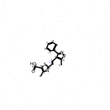 Cc1nc(/C=C/c2c(-c3ccccc3)noc2C)sc1C(=O)O